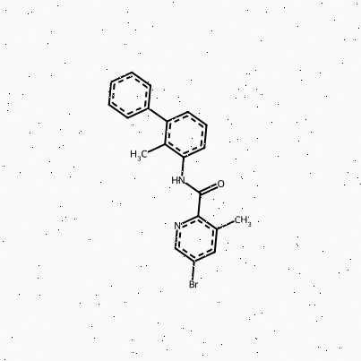 Cc1cc(Br)cnc1C(=O)Nc1cccc(-c2ccccc2)c1C